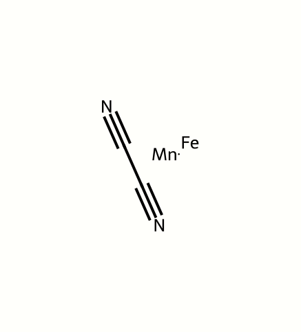 N#CC#N.[Fe].[Mn]